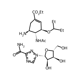 CCOC(=O)C1=C[C@@H](OC(CC)CC)[C@H](NC(C)=O)[C@@H](N)C1.NC(=O)c1ncn([C@@H]2O[C@H](CO)[C@@H](O)[C@H]2O)n1